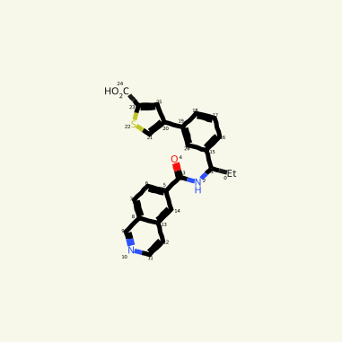 CCC(NC(=O)c1ccc2cnccc2c1)c1cccc(-c2csc(C(=O)O)c2)c1